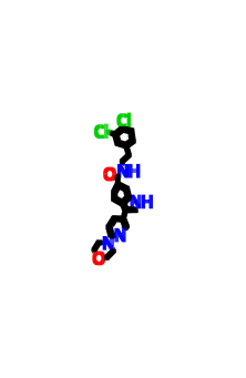 O=C(NCCc1ccc(Cl)c(Cl)c1)c1ccc2c(-c3ccc(N4CCOCC4)nc3)c[nH]c2c1